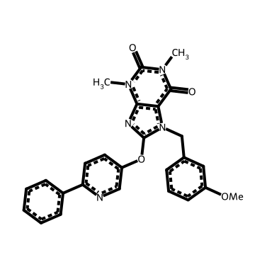 COc1cccc(Cn2c(Oc3ccc(-c4ccccc4)nc3)nc3c2c(=O)n(C)c(=O)n3C)c1